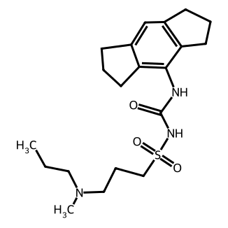 CCCN(C)CCCS(=O)(=O)NC(=O)Nc1c2c(cc3c1CCC3)CCC2